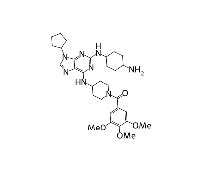 COc1cc(C(=O)N2CCC(Nc3nc(NC4CCC(N)CC4)nc4c3ncn4C3CCCC3)CC2)cc(OC)c1OC